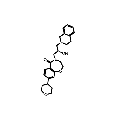 O=C1c2ccc(C3CCOCC3)cc2OCCN1C[C@H](O)CN1CCc2ccccc2C1